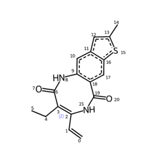 C=C/C1=C(\CC)C(=O)Nc2cc3cc(C)sc3cc2C(=O)N1